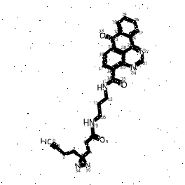 C#CCCC1(CCC(=O)NCCCNC(=O)c2ccc3c4c(ncnc24)-c2ccccc2C3=O)N=N1